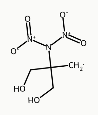 [CH2]C(CO)(CO)N([N+](=O)[O-])[N+](=O)[O-]